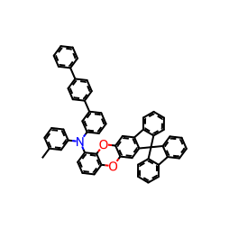 Cc1cccc(N(c2cccc(-c3ccc(-c4ccccc4)cc3)c2)c2cccc3c2Oc2cc4c(cc2O3)C2(c3ccccc3-c3ccccc32)c2ccccc2-4)c1